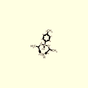 C#CC(C)OP(=O)(OC(C)C#C)c1ccc(C)cc1